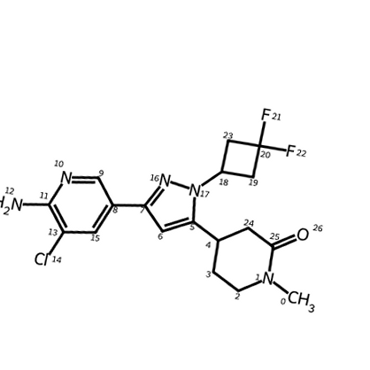 CN1CCC(c2cc(-c3cnc(N)c(Cl)c3)nn2C2CC(F)(F)C2)CC1=O